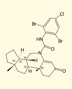 C[C@@]12CCC[C@H]1[C@@H]1CN(C(=O)Nc3c(Br)cc(Cl)cc3Br)C3=CC(=O)CC[C@]3(C)[C@H]1CC2